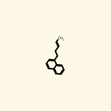 [CH2]C=CCCc1cccc2ccccc12